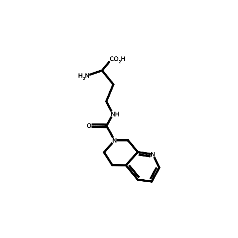 NC(CCNC(=O)N1CCc2cccnc2C1)C(=O)O